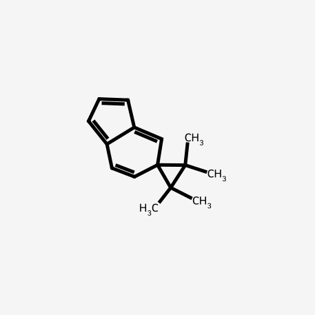 CC1(C)C(C)(C)C12C=CC1=CC=CC1=C2